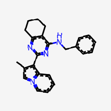 Cc1cn2ccccc2c1-c1nc2c(c(NCc3ccccc3)n1)CCCC2